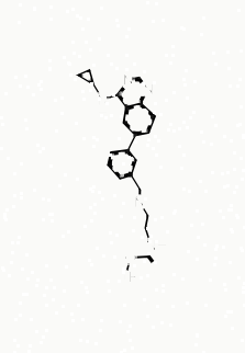 CC(C)(C)OC(=O)NCCNCc1cccc(-c2ccc3ncnc(NC4CC4)c3c2)c1